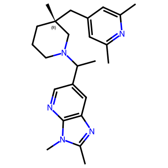 Cc1cc(C[C@@]2(C)CCCN(C(C)c3cnc4c(c3)nc(C)n4C)C2)cc(C)n1